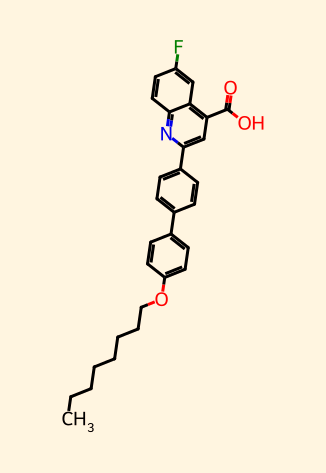 CCCCCCCCOc1ccc(-c2ccc(-c3cc(C(=O)O)c4cc(F)ccc4n3)cc2)cc1